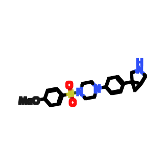 COC1C=CC(S(=O)(=O)N2CCN(C3C=CC(C45CNCC4C5)=CC3)CC2)=CC1